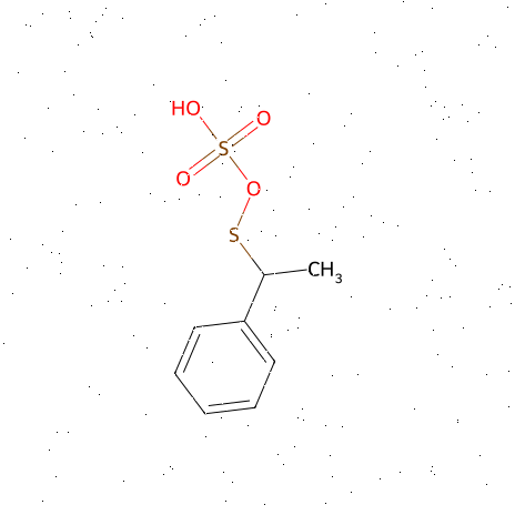 CC(SOS(=O)(=O)O)c1ccccc1